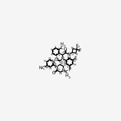 Cc1ccccc1C(C(=O)NC1CC(F)(F)C1)N(C(=O)[C@@H]1CN(C)CC(=O)N1c1cc(C#N)ccn1)c1cc(F)cc(F)c1